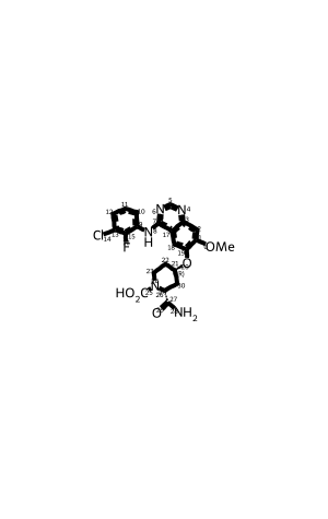 COc1cc2ncnc(Nc3cccc(Cl)c3F)c2cc1O[C@@H]1CCN(C(=O)O)[C@@H](C(N)=O)C1